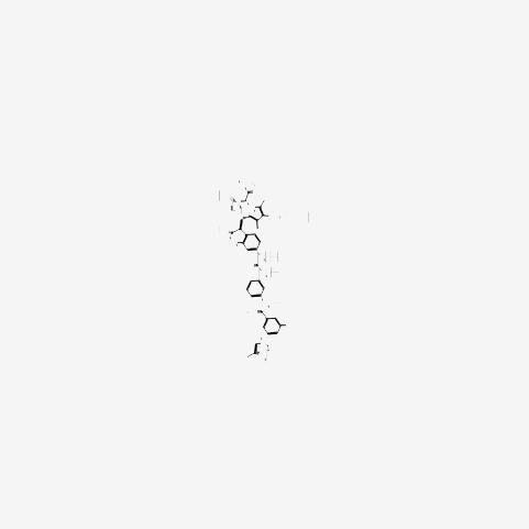 CCN(CC)C(C(N)=O)n1c(C)c(C(=O)O)c(C)c1C=C1C(=O)Nc2cc(NC(=O)Nc3cccc(NC(=O)c4cc(-n5cnc(C)c5)cc(C(F)(F)F)c4)c3)ccc21